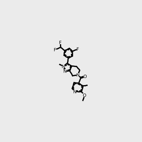 COc1nccc(C(=O)N2CCc3c(nn(C)c3-c3cc(F)cc(C(F)F)c3)C2)c1C